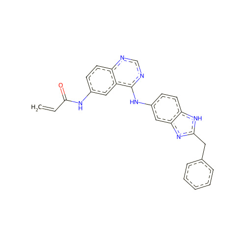 C=CC(=O)Nc1ccc2ncnc(Nc3ccc4[nH]c(Cc5ccccc5)nc4c3)c2c1